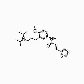 COc1ccc(NC(=O)C=Cc2cccs2)cc1CCCN(C(C)C)C(C)C